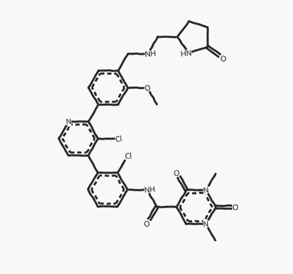 COc1cc(-c2nccc(-c3cccc(NC(=O)c4cn(C)c(=O)n(C)c4=O)c3Cl)c2Cl)ccc1CNCC1CCC(=O)N1